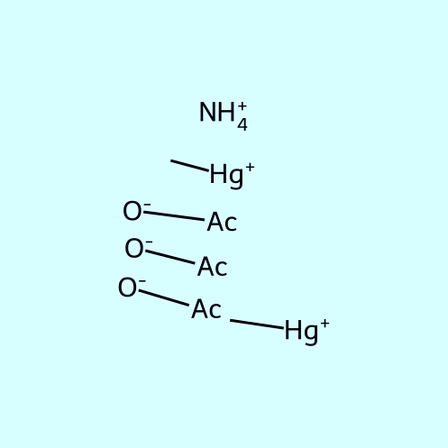 CC(=O)[O-].CC(=O)[O-].CC(=O)[O-].[CH3][Hg+].[CH3][Hg+].[NH4+]